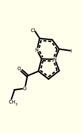 CCOC(=O)c1ccn2c(I)cc(Cl)nc12